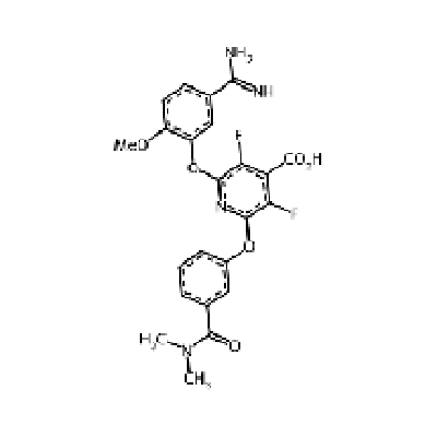 COc1ccc(C(=N)N)cc1Oc1nc(Oc2cccc(C(=O)N(C)C)c2)c(F)c(C(=O)O)c1F